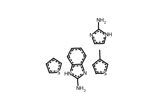 Cc1ccsc1.Nc1nc2ccccc2[nH]1.Nc1ncc[nH]1.c1ccsc1